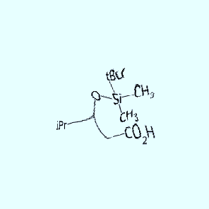 CC(C)C(CC(=O)O)O[Si](C)(C)C(C)(C)C